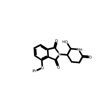 CC(C)Oc1cccc2c1C(=O)N(C1CCC(=O)NC1O)C2=O